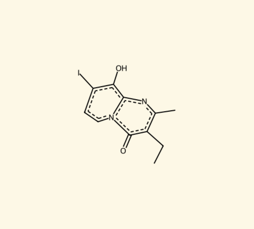 CCc1c(C)nc2c(O)c(I)ccn2c1=O